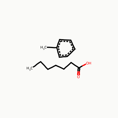 CCCCCCC(=O)O.Cc1cc[c]cc1